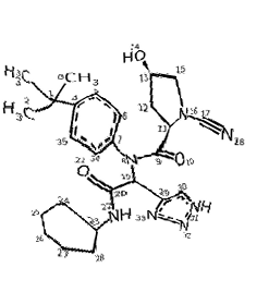 CC(C)(C)c1ccc(N(C(=O)[C@H]2C[C@@H](O)CN2C#N)C(C(=O)NC2CCCCC2)c2c[nH]nn2)cc1